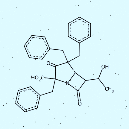 CC(O)C1C(=O)N2C1C(Cc1ccccc1)(Cc1ccccc1)C(=O)C2(Cc1ccccc1)C(=O)O